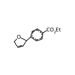 CCOC(=O)c1ccc(C2C=CCO2)cc1